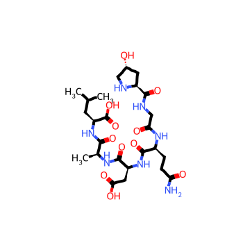 CC(C)C[C@H](NC(=O)[C@H](C)NC(=O)[C@H](CC(=O)O)NC(=O)[C@H](CCC(N)=O)NC(=O)CNC(=O)[C@@H]1C[C@@H](O)CN1)C(=O)O